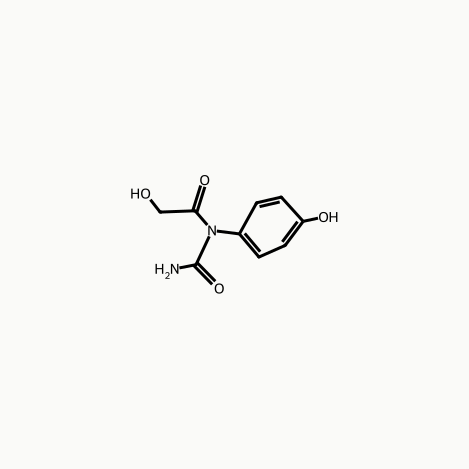 NC(=O)N(C(=O)CO)c1ccc(O)cc1